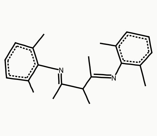 CC(=Nc1c(C)cccc1C)C(C)C(C)=Nc1c(C)cccc1C